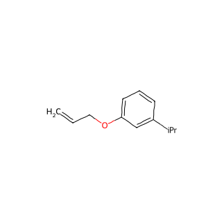 C=CCOc1cccc(C(C)C)c1